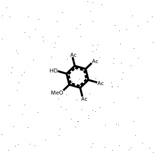 COc1c(O)c(C(C)=O)c(C(C)=O)c(C(C)=O)c1C(C)=O